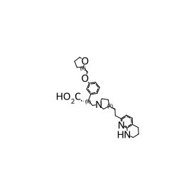 O=C(O)C[C@@H](CN1CC[C@@H](CCc2ccc3c(n2)NCCC3)C1)c1cccc(OC[C@H]2CCCO2)c1